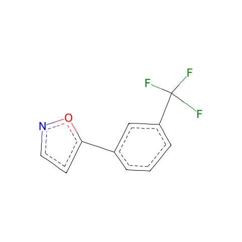 FC(F)(F)c1cccc(-c2ccno2)c1